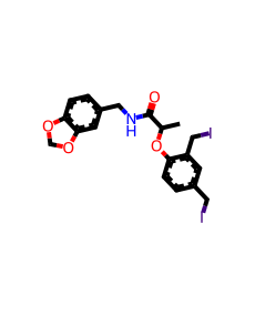 CC(Oc1ccc(CI)cc1CI)C(=O)NCc1ccc2c(c1)OCO2